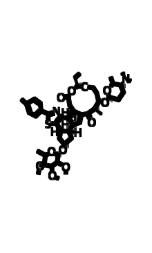 CC[C@H]1CCC[C@H](O[C@H]2CC[C@H](N(C)C)C(C)O2)[C@@H](C)C(=O)C2=C[C@H]3[C@@H]4C[C@H](O[C@@H]5OC(C)[C@H](OC)C(OC)C5OC)C[C@H]4c4sc(-c5ccc(C)cc5)nc4[C@H]3[C@@H]2CC(=O)O1